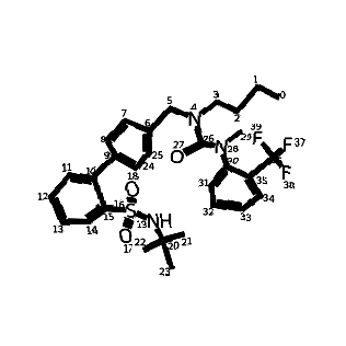 CCCCN(Cc1ccc(-c2ccccc2S(=O)(=O)NC(C)(C)C)cc1)C(=O)N(C)c1ccccc1C(F)(F)F